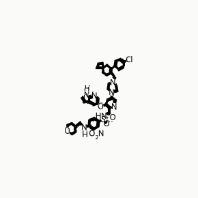 O=C(N[S+]([O-])c1ccc(NCC2CCOCC2)c([N+](=O)[O-])c1)c1ncc(N2CCN(CC3=C(c4ccc(Cl)cc4)CC4(CCC4)CC3)CC2)cc1Oc1cnc2[nH]ccc2c1